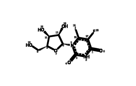 O=c1[nH]c(=O)n([C@@H]2O[C@H](CO)[C@@H](O)[C@H]2O)c(I)c1F